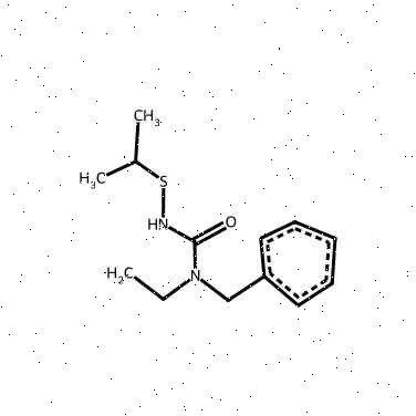 [CH2]CN(Cc1ccccc1)C(=O)NSC(C)C